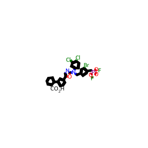 O=C(O)c1ccccc1-c1cccc(-c2cnc(N(Cc3ccc(CP(=O)(OF)OF)c(Br)c3)c3ccc(Cl)c(Cl)c3)o2)c1